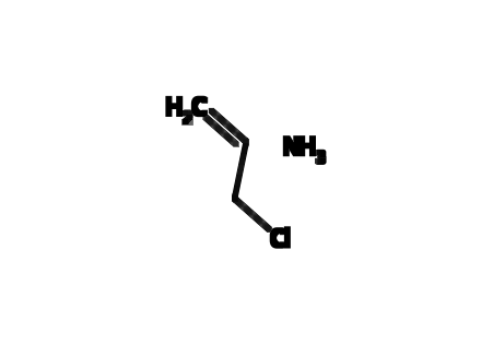 C=CCCl.N